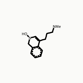 CNCCCC1=CN(O)Cc2ccccc21